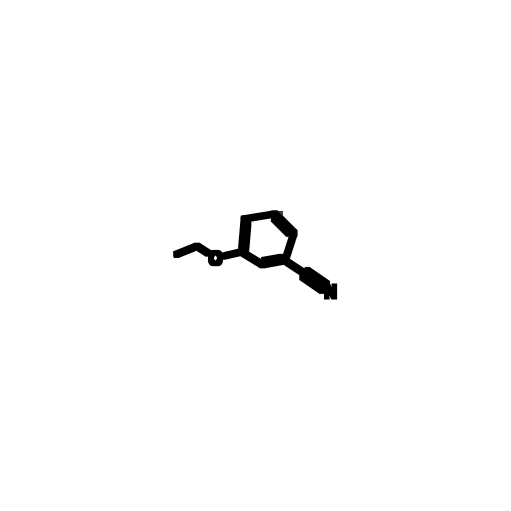 CCOc1c[c]cc(C#N)c1